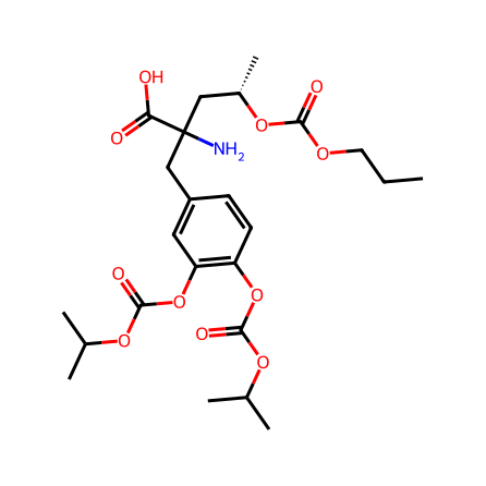 CCCOC(=O)O[C@@H](C)CC(N)(Cc1ccc(OC(=O)OC(C)C)c(OC(=O)OC(C)C)c1)C(=O)O